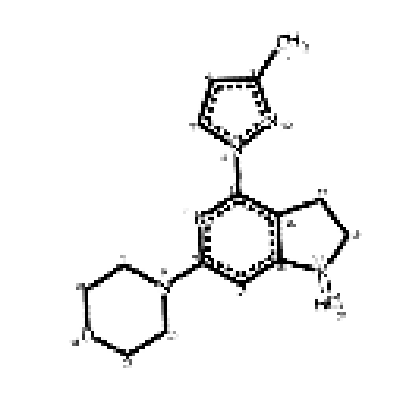 Cc1ccn(-c2nc(N3CCOCC3)cc3c2CCN3)n1.Cl